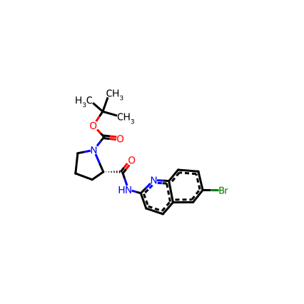 CC(C)(C)OC(=O)N1CCC[C@H]1C(=O)Nc1ccc2cc(Br)ccc2n1